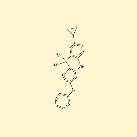 CC1(C)c2ccc(Oc3ccccc3)cc2Nc2ccc(C3CC3)cc21